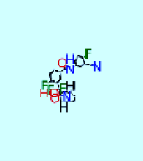 N#Cc1cc(NC(=O)c2ccc(F)c(C(F)(F)C(=O)N3[C@@H]4CC[C@H]3C[C@@H](O)C4)c2)ccc1F